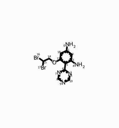 Nc1cc(N)c(-c2ncncn2)c(OCC(Br)Br)c1